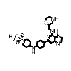 CS(=O)(=O)N1CCC(Nc2ccc(-c3cc4nccnc4c(NCC4CNCCO4)n3)cc2)CC1